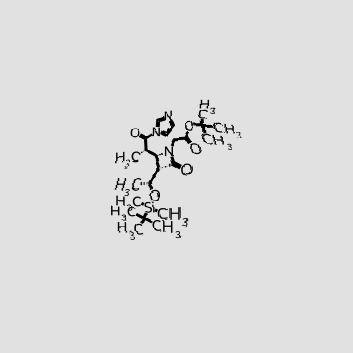 C[C@H](C(=O)n1ccnc1)[C@H]1[C@@H]([C@@H](C)O[Si](C)(C)C(C)(C)C)C(=O)N1CC(=O)OC(C)(C)C